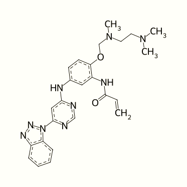 C=CC(=O)Nc1cc(Nc2cc(-n3nnc4ccccc43)ncn2)ccc1OCN(C)CCN(C)C